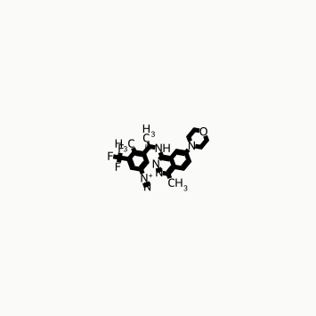 Cc1c([C@@H](C)Nc2nnc(C)c3ccc(N4CCOCC4)cc23)cc([N+]#N)cc1C(F)(F)F